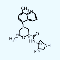 Cc1ccc(N2C[C@@H](C)O[C@@H](C(=O)N[C@@H]3CNC[C@@H]3F)C2)c2cccnc12